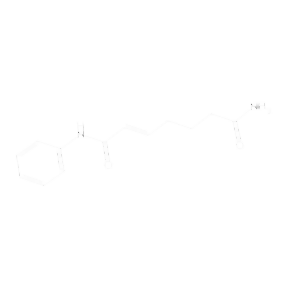 NC(=O)CCCC=CC(=O)Nc1ccccc1